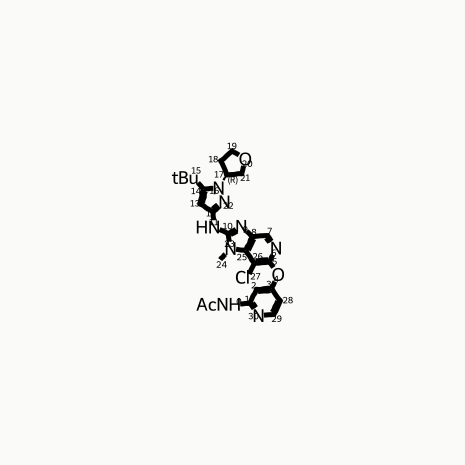 CC(=O)Nc1cc(Oc2ncc3nc(Nc4cc(C(C)(C)C)n([C@@H]5CCOC5)n4)n(C)c3c2Cl)ccn1